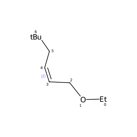 CCOC/C=C\CC(C)(C)C